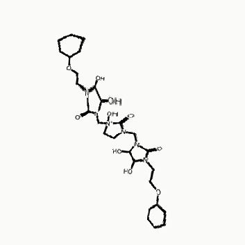 O=C1N(CCOC2CCCCC2)C(O)C(O)N1CN1CC[N+](O)(CN2C(=O)N(CCOC3CCCCC3)C(O)C2O)C1=O